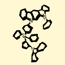 c1ccc(-n2c3ccccc3c3cc4c5ccccc5n(-c5ccc([Si](c6ccccc6)(c6ccccc6)c6cccc(-n7c8ccccc8c8ccccc87)c6)cc5)c4cc32)cc1